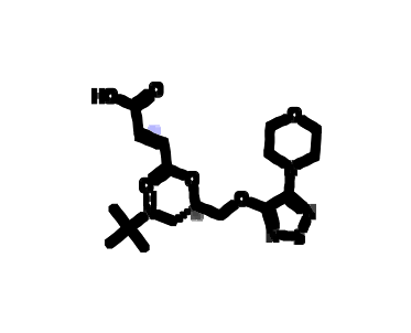 CC(C)(C)NC[C@@H](COc1nsnc1N1CCOCC1)OC(=O)/C=C/C(=O)O